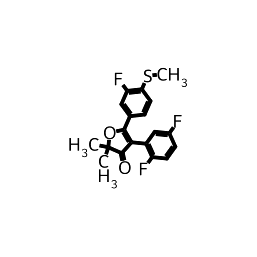 CSc1ccc(C2=C(c3cc(F)ccc3F)C(=O)C(C)(C)O2)cc1F